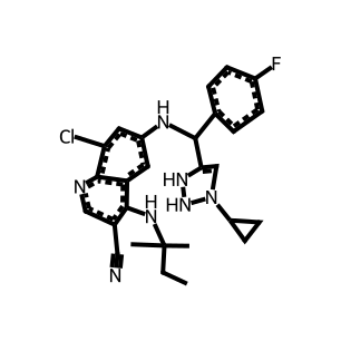 CCC(C)(C)Nc1c(C#N)cnc2c(Cl)cc(NC(C3=CN(C4CC4)NN3)c3ccc(F)cc3)cc12